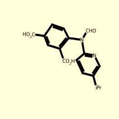 CC(C)c1ccc(N(C=O)c2ccc(C(=O)O)cc2C(=O)O)nc1